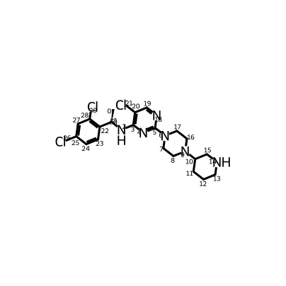 C[C@@H](Nc1nc(N2CCN(C3CCCNC3)CC2)ncc1Cl)c1ccc(Cl)cc1Cl